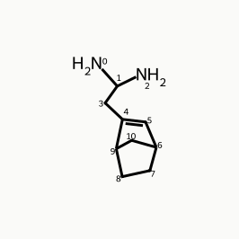 NC(N)CC1=CC2CCC1C2